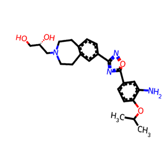 CC(C)Oc1ccc(-c2nc(-c3ccc4c(c3)CCN(C[C@@H](O)CO)CC4)no2)cc1N